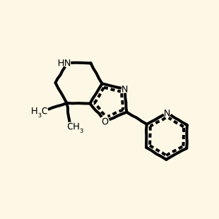 CC1(C)CNCc2nc(-c3ccccn3)oc21